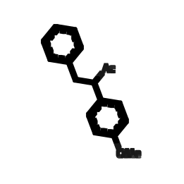 COc1ccc(C(Cc2ccccc2)C(C)=O)cc1